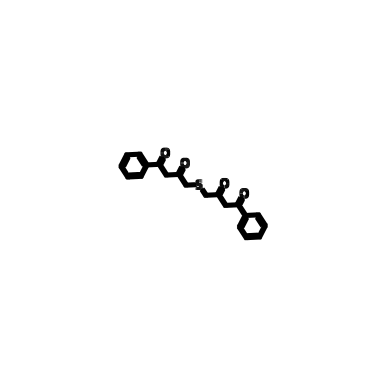 O=C(CSCC(=O)CC(=O)c1ccccc1)CC(=O)c1ccccc1